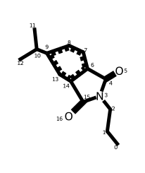 CCCN1C(=O)c2ccc(C(C)C)cc2C1=O